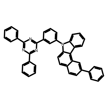 c1ccc(-c2ccc3ccc4c(c3c2)c2ccccc2n4-c2cccc(-c3nc(-c4ccccc4)nc(-c4ccccc4)n3)c2)cc1